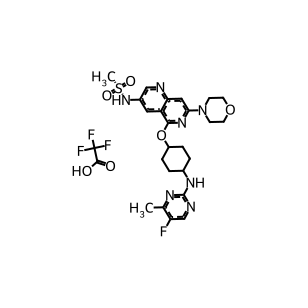 Cc1nc(NC2CCC(Oc3nc(N4CCOCC4)cc4ncc(NS(C)(=O)=O)cc34)CC2)ncc1F.O=C(O)C(F)(F)F